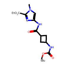 CCOC(=O)c1nc(NC(=O)C2CC(NC(=O)OC(C)(C)C)C2)cn1C